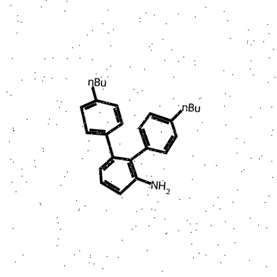 CCCCc1ccc(-c2cccc(N)c2-c2ccc(CCCC)cc2)cc1